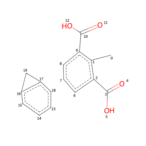 Cc1c(C(=O)O)cccc1C(=O)O.c1ccc2c(c1)C2